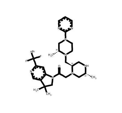 CCCC(F)(F)c1cc2c(cn1)C(C)(C)CN2C(=O)CN1C[C@@H](C)NC[C@@H]1CN1CCN(c2ncccn2)C[C@H]1C